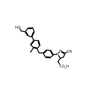 Cc1cc(-c2cccc(CO)c2)ccc1Cc1ccc(N2N=C(C#N)CC2CC(=O)O)cc1